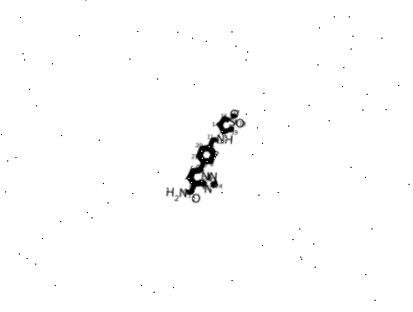 NC(=O)c1ccc(-c2ccc(CNC3CCS(=O)(=O)C3)cc2)n2n[c]nc12